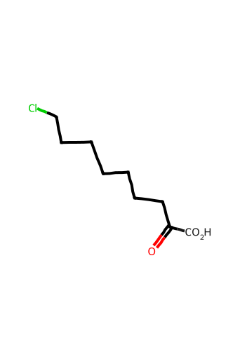 O=C(O)C(=O)CCCCCCCCl